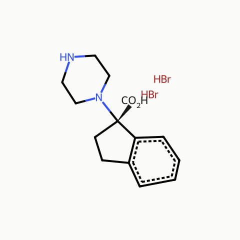 Br.Br.O=C(O)[C@]1(N2CCNCC2)CCc2ccccc21